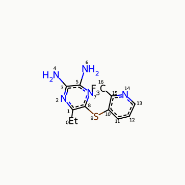 CCc1nc(N)c(N)nc1Sc1cccnc1C(F)(F)F